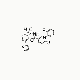 C[C@@H](NC(=O)c1ccc(=O)n(-c2ccccc2F)c1)c1cccc(-c2cccs2)c1